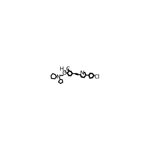 Cc1cc(C#Cc2ccc(-c3ccc(Cl)cc3)cn2)ccc1OCCN(C1CCCCC1)C1CCCC1